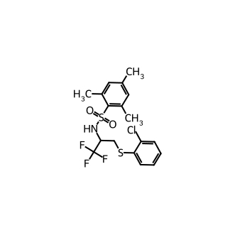 Cc1cc(C)c(S(=O)(=O)NC(CSc2ccccc2Cl)C(F)(F)F)c(C)c1